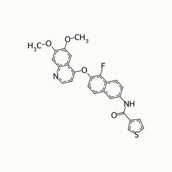 COc1cc2nccc(Oc3ccc4cc(NC(=O)c5ccsc5)ccc4c3F)c2cc1OC